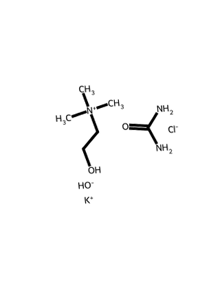 C[N+](C)(C)CCO.NC(N)=O.[Cl-].[K+].[OH-]